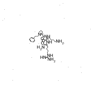 N=C(N)NCCCC[C@H](NC(=O)[C@H](CCCCN)NC(=O)[C@@H]1CCCN1CCc1ccccc1)C(N)=O